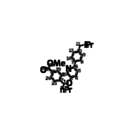 CCCC(Oc1ccc(-c2ccc(CC(C)C)cc2)nc1)c1ccc(C(=O)OC)cc1